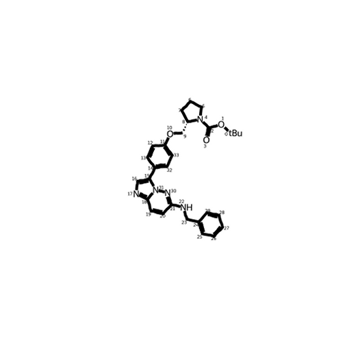 CC(C)(C)OC(=O)N1CCC[C@H]1COc1ccc(-c2cnc3ccc(NCc4ccccc4)nn23)cc1